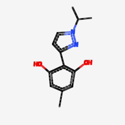 Cc1cc(O)c(-c2ccn(C(C)C)n2)c(O)c1